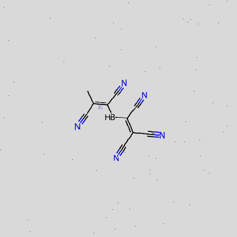 C/C(C#N)=C(/BC(C#N)=C(C#N)C#N)C#N